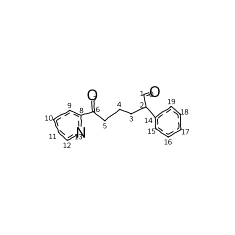 O=CC(CCCC(=O)c1ccccn1)c1ccccc1